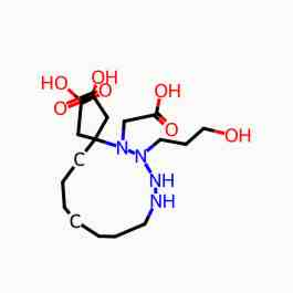 O=C(O)CN1N(CCCO)NNCCCCCCCC1(CC(=O)O)CC(=O)O